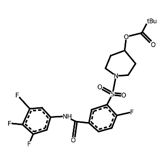 CC(C)(C)C(=O)OC1CCN(S(=O)(=O)c2cc(C(=O)Nc3cc(F)c(F)c(F)c3)ccc2F)CC1